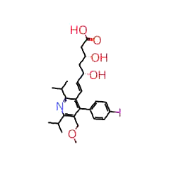 COCc1c(C(C)C)nc(C(C)C)c(/C=C/[C@@H](O)C[C@@H](O)CC(=O)O)c1-c1ccc(I)cc1